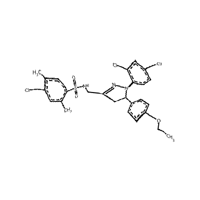 CCOc1ccc(C2CC(CNS(=O)(=O)c3cc(C)c(Cl)cc3C)=NN2c2ccc(Cl)cc2Cl)cc1